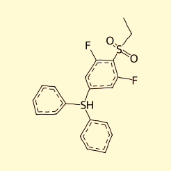 CCS(=O)(=O)c1c(F)cc([SH](c2ccccc2)c2ccccc2)cc1F